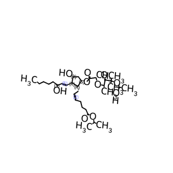 CCCCC[C@H](O)/C=C/[C@@H]1[C@@H](C/C=C\CCCC(=O)OC(C)C)[C@@H](OC(=O)C(C)OC(C)C(=O)C(C)(C)OC(C)O)C[C@H]1O